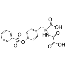 O=C(O)C(=O)N[C@H](Cc1ccc(OS(=O)(=O)c2ccccc2)cc1)C(=O)O